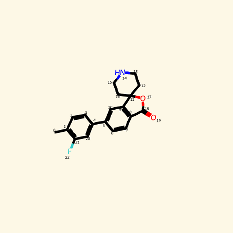 Cc1ccc(-c2ccc3c(c2)C2(CCNCC2)OC3=O)cc1F